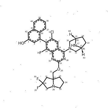 Oc1cc(-c2c(Cl)cc3c(N4C[C@H]5CC[C@@H](C4)N5)nc(OCC45CCCN4CC(F)(F)C5)nc3c2F)c2ccccc2c1